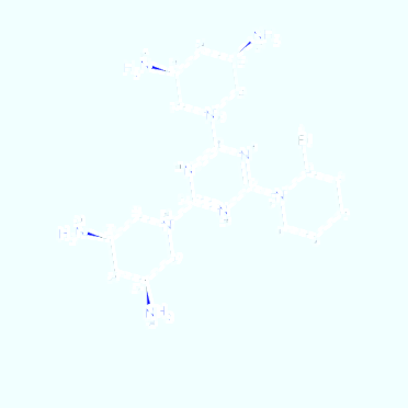 CCC1CCCCN1c1nc(N2C[C@H](N)C[C@H](N)C2)nc(N2C[C@H](N)C[C@H](N)C2)n1